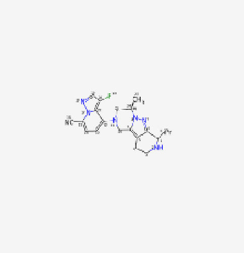 CC(C)C1NCCc2c1nn1c2CN(c2ccc(C#N)n3ncc(F)c23)C[C@H]1C